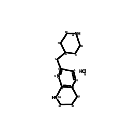 Cl.c1cc2c(nc1CC1CCNCC1)NCCC2